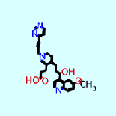 COc1ccc2nccc([C@@H](O)CCC3CCN(CC#Cc4ccncn4)CC3CCC(=O)O)c2c1